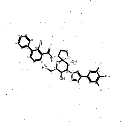 O=C(N[C@@H]1CCO[C@]12O[C@H](CO)[C@H](O)[C@H](n1cc(-c3cc(F)c(F)c(F)c3)nn1)[C@H]2O)c1cccc(-c2ccccc2)c1Cl